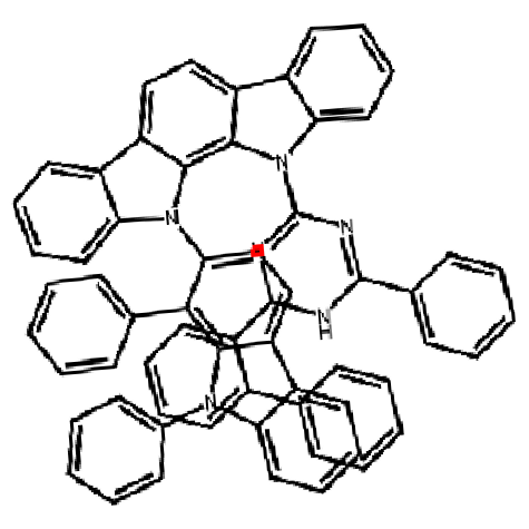 c1ccc(C2=NC(n3c4ccccc4c4ccc5c6ccccc6n(-c6ccc7c8ccccc8n(-c8ccccc8)c7c6-c6ccccc6)c5c43)=NC(c3ccccc3-c3ccccc3)N2)cc1